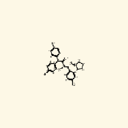 CN(C(=O)C(c1ccc(F)cc1)c1ccc(F)cc1)[C@H](CN1CCCC1)c1ccc(O)cc1